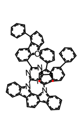 c1ccc(-c2ccc(-n3c4ccccc4c4ccc5c6ccccc6n(-c6nc(-c7cccc(-c8ccccc8)c7)nc(-c7cccc8c7oc7cccc(-c9ccccc9)c78)n6)c5c43)cc2)cc1